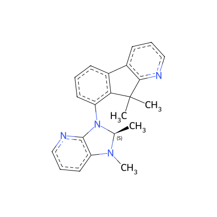 C[C@H]1N(C)c2cccnc2N1c1cccc2c1C(C)(C)c1ncccc1-2